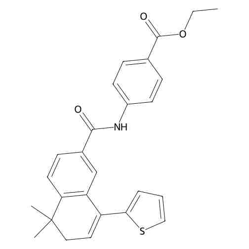 CCOC(=O)c1ccc(NC(=O)c2ccc3c(c2)C(c2cccs2)=CCC3(C)C)cc1